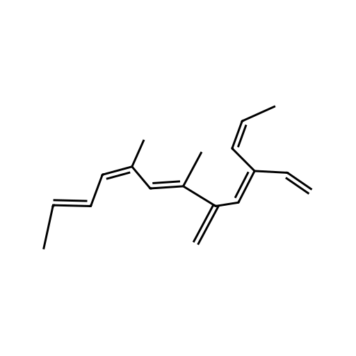 C=CC(/C=C\C)=C/C(=C)/C(C)=C/C(C)=C\C=C\C